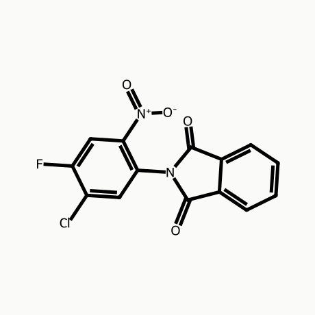 O=C1c2ccccc2C(=O)N1c1cc(Cl)c(F)cc1[N+](=O)[O-]